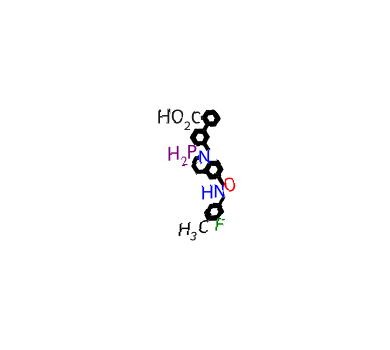 Cc1ccc(CNC(=O)c2ccc3c(c2)CCCN3Cc2cc(-c3ccccc3C(=O)O)ccc2P)cc1F